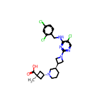 C[C@]1(C(=O)O)C[C@H](N2CCC[C@H](C3CN(c4ncc(Cl)c(NCc5ccc(Cl)cc5Cl)n4)C3)C2)C1